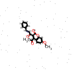 COc1ccc2c(C(C)=O)c(C(=O)/C=C/c3ccccc3)c(=O)oc2c1